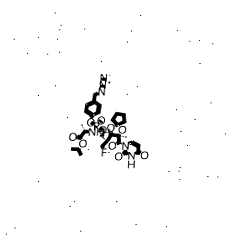 CC(C)OC(=O)[C@H](C)NP(=O)(OC[C@@]1(CF)O[C@@H](n2ccc(=O)[nH]c2=O)[C@]2(C)OC3(CCCC3)O[C@H]12)Oc1ccc(CN=[N+]=[N-])cc1